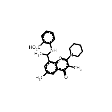 Cc1cc(C(C)Nc2ccccc2C(=O)O)c2oc(N3CCCCC3)c(C)c(=O)c2c1